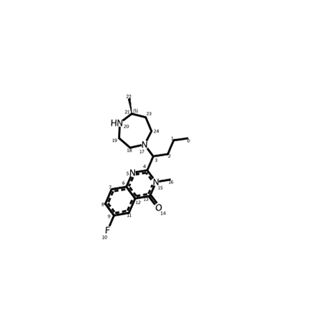 CCCC(c1nc2ccc(F)cc2c(=O)n1C)N1CCN[C@@H](C)CC1